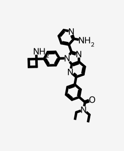 CCN(CC)C(=O)c1cccc(-c2ccc3nc(-c4cccnc4N)n(-c4ccc(C5(N)CCC5)cc4)c3n2)c1